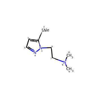 CSc1ccnn1CCN(C)C